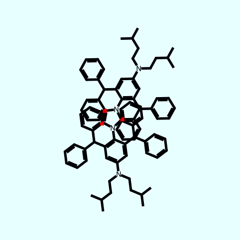 CC(C)CCN(CCC(C)C)c1cc(C(c2ccccc2)c2ccccc2)c(N2C=CN(c3c(C(c4ccccc4)c4ccccc4)cc(N(CCC(C)C)CCC(C)C)cc3C(c3ccccc3)c3ccccc3)C2)c(C(c2ccccc2)c2ccccc2)c1